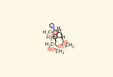 CO[C@H]1C[C@H]2C=C[C@@H]3[C@H]4C(=O)C(C)C(N5CCCC5)[C@@H]3O[C@@]24/C(C)=C/[C@@H](C)[C@@H](C(C)O)OC1=O